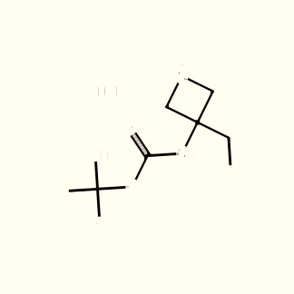 CCC1(NC(=O)OC(C)(C)C)CNC1.Cl